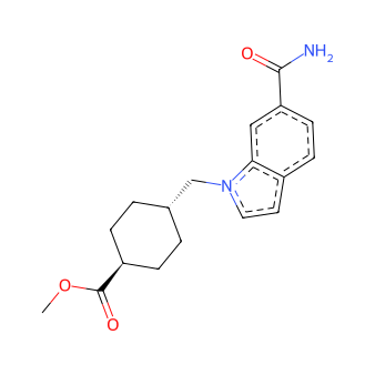 COC(=O)[C@H]1CC[C@H](Cn2ccc3ccc(C(N)=O)cc32)CC1